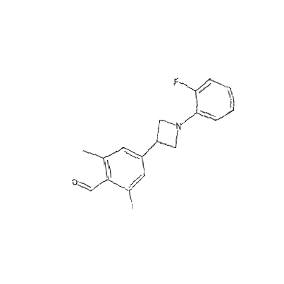 Cc1cc(C2CN(c3ccccc3F)C2)cc(C)c1C=O